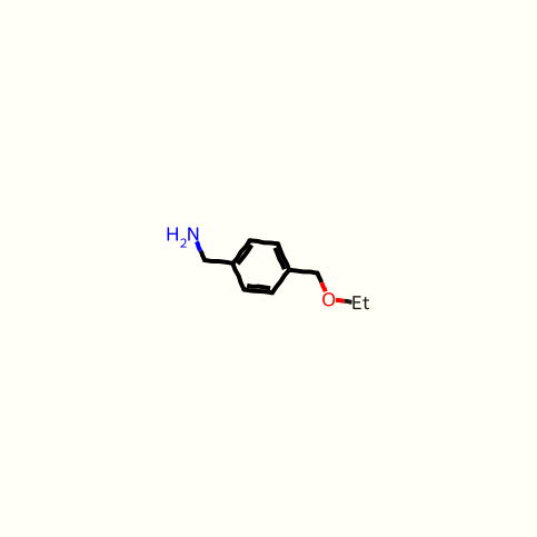 CCOCc1ccc(CN)cc1